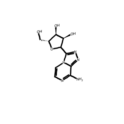 Nc1nccn2c(C3O[C@H](CO)[C@@H](O)[C@H]3O)nnc12